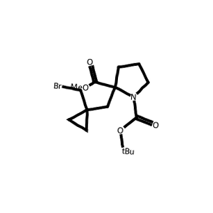 COC(=O)C1(CC2(CBr)CC2)CCCN1C(=O)OC(C)(C)C